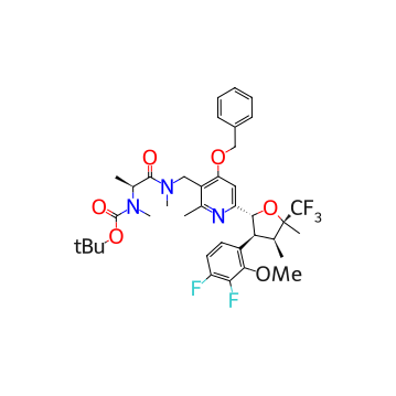 COc1c([C@H]2[C@H](c3cc(OCc4ccccc4)c(CN(C)C(=O)[C@H](C)N(C)C(=O)OC(C)(C)C)c(C)n3)O[C@@](C)(C(F)(F)F)[C@H]2C)ccc(F)c1F